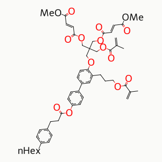 C=C(C)C(=O)OCCCc1cc(-c2ccc(OC(=O)CCc3ccc(CCCCCC)cc3)cc2)ccc1OCC(COC(=O)/C=C/C(=O)OC)(COC(=O)/C=C/C(=O)OC)COC(=O)C(=C)C